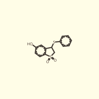 O=S1(=O)CC(Sc2ccccc2)c2cc(O)ccc21